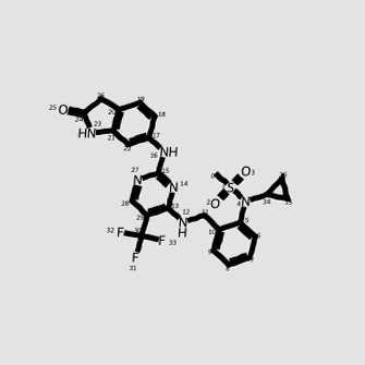 CS(=O)(=O)N(c1ccccc1CNc1nc(Nc2ccc3c(c2)NC(=O)C3)ncc1C(F)(F)F)C1CC1